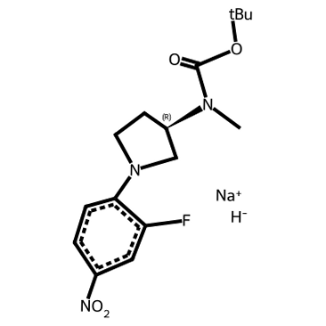 CN(C(=O)OC(C)(C)C)[C@@H]1CCN(c2ccc([N+](=O)[O-])cc2F)C1.[H-].[Na+]